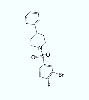 O=S(=O)(c1ccc(F)c(Br)c1)N1CCC(c2ccccc2)CC1